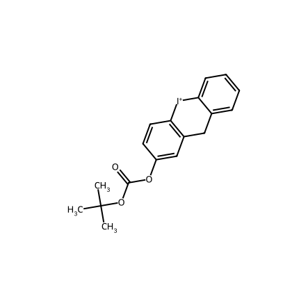 CC(C)(C)OC(=O)Oc1ccc2c(c1)Cc1ccccc1[I+]2